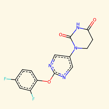 O=C1CCN(c2cnc(Oc3ccc(F)cc3F)nc2)C(=O)N1